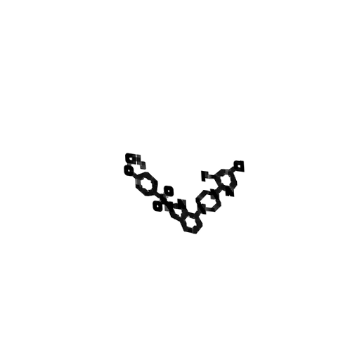 COc1ccc(S(=O)(=O)n2cc3cccc(N4CCN(c5ncc(Cl)cc5F)CC4)c3n2)cc1